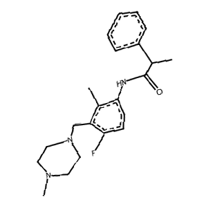 Cc1c(NC(=O)C(C)c2ccccc2)ccc(F)c1CN1CCN(C)CC1